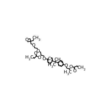 C=CC(=O)OC(C)COc1ccc(C(C)(C)c2ccc(OCC(COCCOCC3(CC)COC3)OC(=O)C=C)cc2)cc1